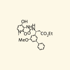 CCOC(=O)C[C@H](NC(=O)Nc1c(O)ccn(C)c1=O)c1cc(OC)cc(-c2ccccc2)c1